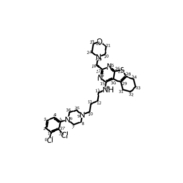 Clc1cccc(N2CCN(CCCCNc3nc(CN4CCOCC4)nc4sc5c(c34)CCCC5)CC2)c1Cl